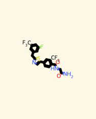 NC(=O)CNC(=O)c1ccc(-c2cnc(Cc3cc(F)cc(C(F)(F)F)c3)s2)cc1C(F)(F)F